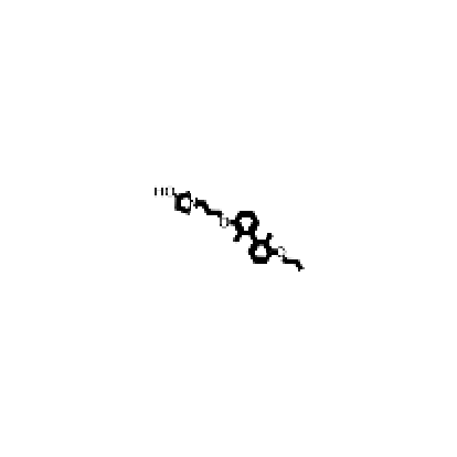 CC[CH]Oc1cccc(-c2cccc(OCCCN3CC[C@@H](O)C3)c2C)c1C